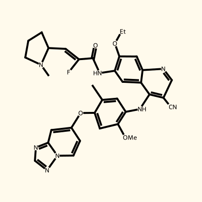 CCOc1cc2ncc(C#N)c(Nc3cc(C)c(Oc4ccn5ncnc5c4)cc3OC)c2cc1NC(=O)C(F)=CC1CCCN1C